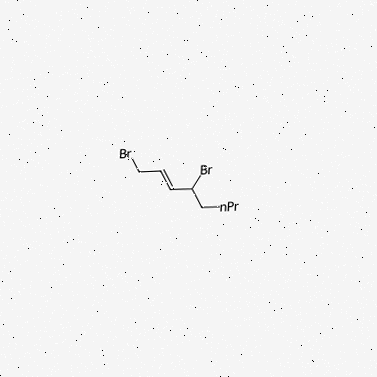 CCCCC(Br)/C=C/CBr